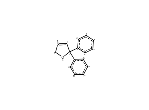 C1=NCOC1(c1ccccc1)c1ccccc1